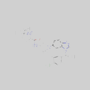 CC(C1C=CC(Cl)=CC1Cl)n1cnc2ccc(N3CCC(NC(=O)C4CCC(C)(C)N4)C3)cc21